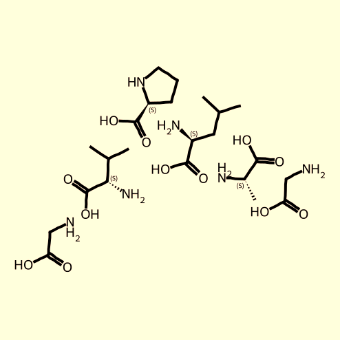 CC(C)C[C@H](N)C(=O)O.CC(C)[C@H](N)C(=O)O.C[C@H](N)C(=O)O.NCC(=O)O.NCC(=O)O.O=C(O)[C@@H]1CCCN1